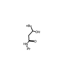 CCCCC(O)CC(=O)NC(C)C